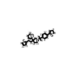 CC(C)(c1ccc(C2=CCCS2)cc1)N1CCC(CCc2cccs2)(C2CCCO2)C1